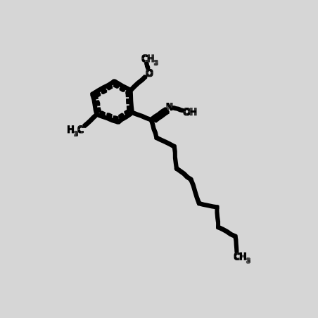 CCCCCCCCCC(=NO)c1cc(C)ccc1OC